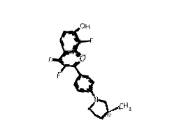 C[C@H]1CCCN(c2ccc(-c3oc4c(F)c(O)ccc4c(=O)c3F)cc2)C1